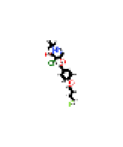 CC(C)(C)n1ncc(OCc2ccc(OCCCCF)cc2)c(Cl)c1=O